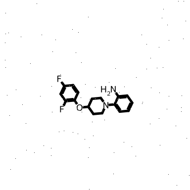 Nc1ccccc1N1CCC(Oc2ccc(F)cc2F)CC1